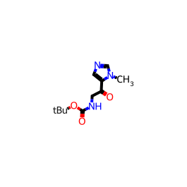 Cn1cncc1C(=O)CNC(=O)OC(C)(C)C